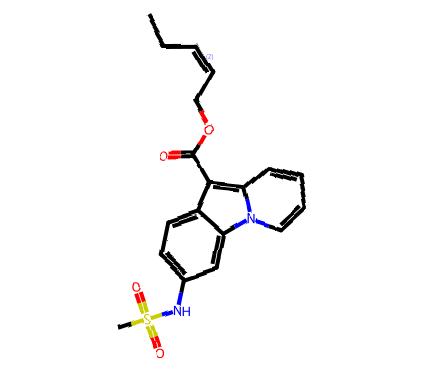 CC/C=C\COC(=O)c1c2ccc(NS(C)(=O)=O)cc2n2ccccc12